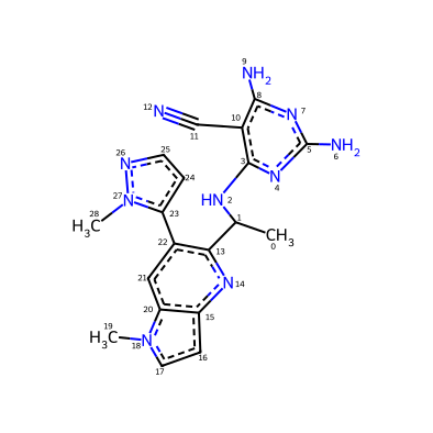 CC(Nc1nc(N)nc(N)c1C#N)c1nc2ccn(C)c2cc1-c1ccnn1C